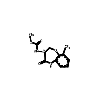 CC(C)(C)OC(=O)N[C@H]1COc2c(cccc2C(F)(F)F)NC1=O